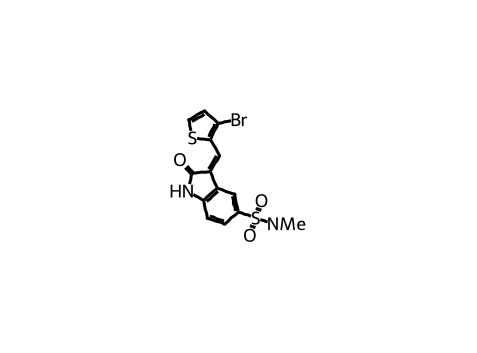 CNS(=O)(=O)c1ccc2c(c1)C(=Cc1sccc1Br)C(=O)N2